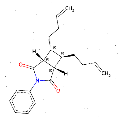 C=CCC[C@@H]1[C@@H](CCC=C)[C@@H]2C(=O)N(c3ccccc3)C(=O)[C@H]12